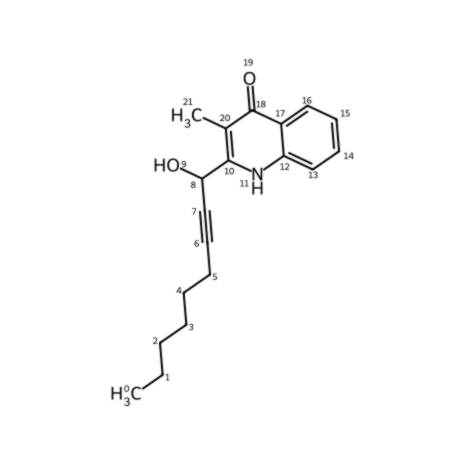 CCCCCCC#CC(O)c1[nH]c2ccccc2c(=O)c1C